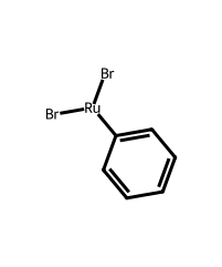 [Br][Ru]([Br])[c]1ccccc1